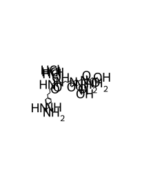 Cl.Cl.Cl.N=C(N)Nc1ccc(CCCC(=O)N[C@@H](CO)C(=O)NCCCCN(CCCNC(=O)[C@@H](N)CC(=O)O)C(=O)[C@@H](N)CC(=O)O)cc1